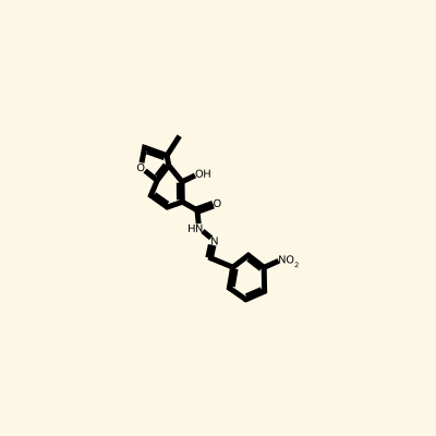 Cc1coc2ccc(C(=O)NN=Cc3cccc([N+](=O)[O-])c3)c(O)c12